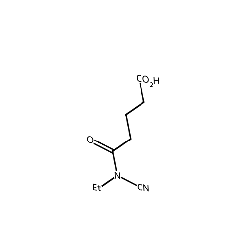 CCN(C#N)C(=O)CCCC(=O)O